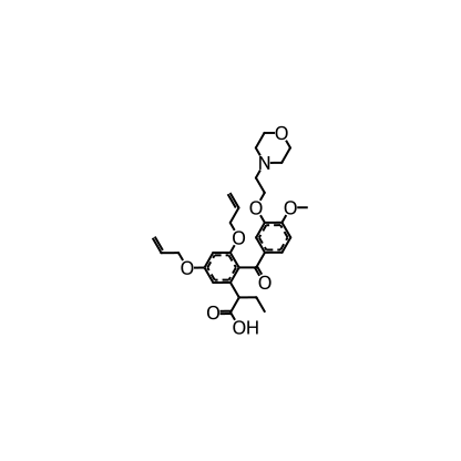 C=CCOc1cc(OCC=C)c(C(=O)c2ccc(OC)c(OCCN3CCOCC3)c2)c(C(CC)C(=O)O)c1